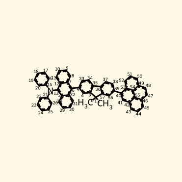 CC1(C)c2cc(-c3c4ccccc4c(N(c4ccccc4)c4ccccc4)c4ccccc34)ccc2-c2ccc(-c3cc4cccc5ccc6cccc3c6c54)cc21